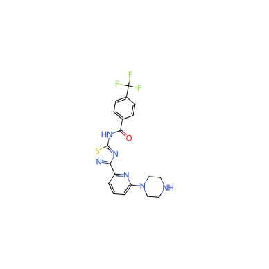 O=C(Nc1nc(-c2cccc(N3CCNCC3)n2)ns1)c1ccc(C(F)(F)F)cc1